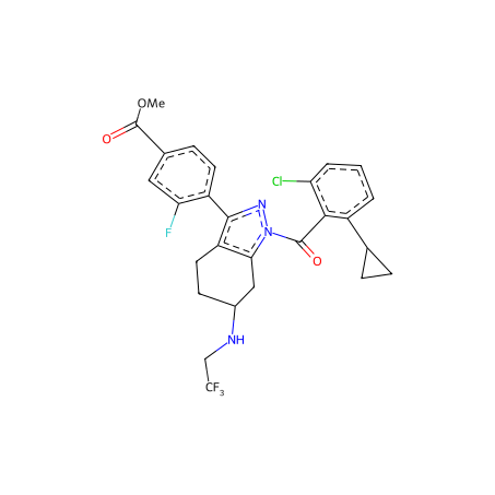 COC(=O)c1ccc(-c2nn(C(=O)c3c(Cl)cccc3C3CC3)c3c2CCC(NCC(F)(F)F)C3)c(F)c1